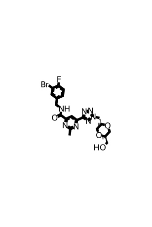 Cc1nc(C(=O)NCc2ccc(F)c(Br)c2)cc(-c2nnn(C[C@H]3CO[C@H](CO)CO3)n2)n1